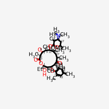 CC[C@H]1OC(=O)[C@H](C)C(=O)[C@H](C)[C@@H](OC2OC(C)CC(N(C)C)C2C)[C@](C)(OC)C[C@@H](C)C(=O)[C@H](C)[C@@H](Oc2c(C)cc(C)cc2C)[C@]1(C)O